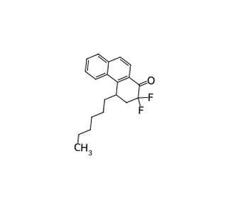 CCCCCCC1CC(F)(F)C(=O)c2ccc3ccccc3c21